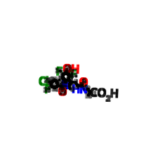 Cc1c(CCC(=O)NC[C@H](C)C(=O)O)c2c(F)c(O)c(F)cc2n1C(=O)c1ccc(Cl)c(F)c1